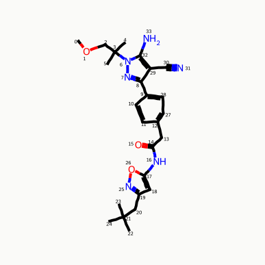 COCC(C)(C)n1nc(-c2ccc(CC(=O)Nc3cc(CC(C)(C)C)no3)cc2)c(C#N)c1N